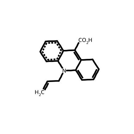 C=CCN1C2=CC=CCC2=C(C(=O)O)c2ccccc21